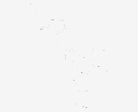 COc1cc(Cc2cncnc2)c2cc(Cc3c[nH]c4cc(F)ccc34)oc2c1OC